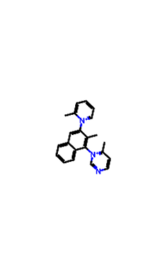 Cc1c(-[n+]2ccccc2C)cc2ccccc2c1-[n+]1cnccc1C